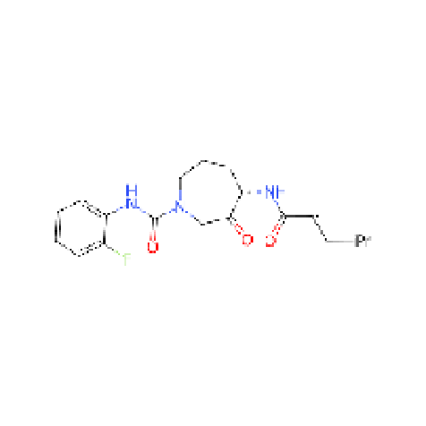 CC(C)C[CH]C(=O)N[C@H]1CCCN(C(=O)Nc2ccccc2F)CC1=O